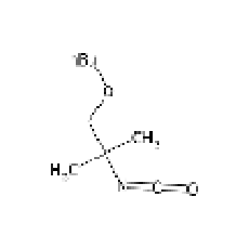 CCCCOCC(C)(C)N=C=O